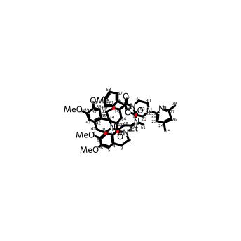 CCN1CCc2cc(OC)c(OC)cc2C1C1CC(C(=O)N2CCN(c3cc(C)cc(C)n3)CC2)CCC12c1cc(OC)c(OC)cc1CCN2C(=O)CCN(C)C(=O)OCc1ccccc1